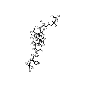 CC(=O)OC(C)(C)CCC[C@@H](C)[C@H]1CC[C@H]2[C@@H]3CC=C4C[C@@H](OCC(=O)OC(C)(C)C)CC[C@]4(C)[C@H]3CC[C@]12C